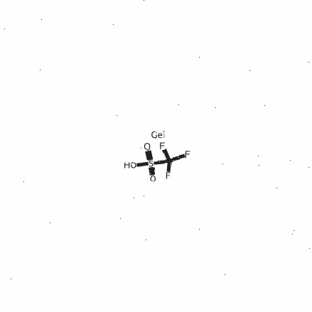 O=S(=O)(O)C(F)(F)F.[Ge]